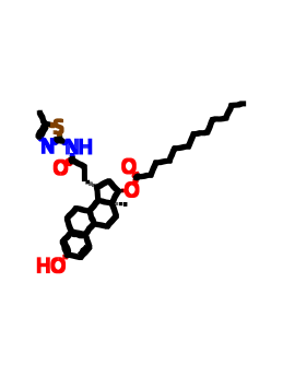 CCCCCCCCCCCC(=O)O[C@H]1C[C@@H](CCC(=O)Nc2ncc(C)s2)C2C3CCc4cc(O)ccc4C3CC[C@@]21C